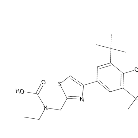 CCN(Cc1nc(-c2cc(C(C)(C)C)c(O)c(C(C)(C)C)c2)cs1)C(=O)O